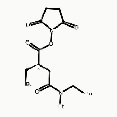 CCC(C)C[C@H](CC(=O)N(CC)CC(C)(C)C)C(=O)ON1C(=O)CCC1=O